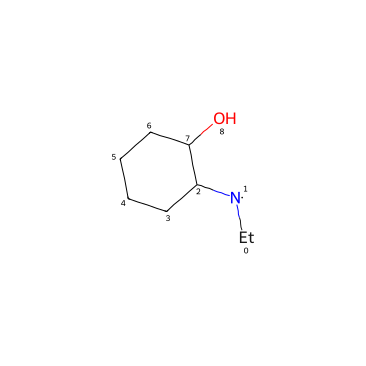 CC[N]C1CCCCC1O